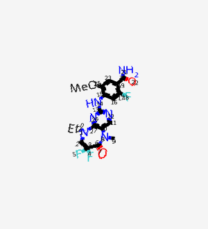 CCN1CC(F)(F)C(=O)N(C)c2cnc(Nc3cc(F)c(C(N)=O)cc3OC)nc21